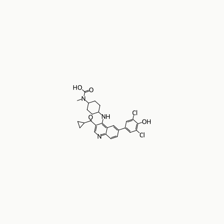 CN(C(=O)O)C1CCC(Nc2c(C(=O)C3CC3)cnc3ccc(-c4cc(Cl)c(O)c(Cl)c4)cc23)CC1